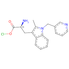 Cc1c(C[C@H](N)C(=O)OCl)c2ccccc2n1Cc1cccnc1